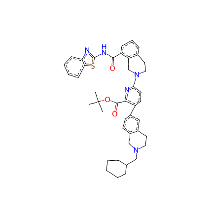 CC(C)(C)OC(=O)c1nc(N2CCc3cccc(C(=O)Nc4nc5ccccc5s4)c3C2)ccc1-c1ccc2c(c1)CCN(CC1CCCCC1)C2